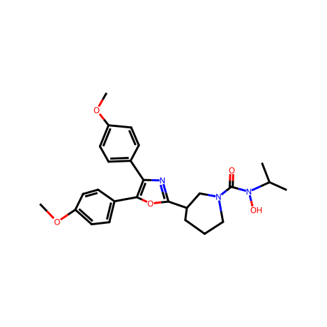 COc1ccc(-c2nc(C3CCCN(C(=O)N(O)C(C)C)C3)oc2-c2ccc(OC)cc2)cc1